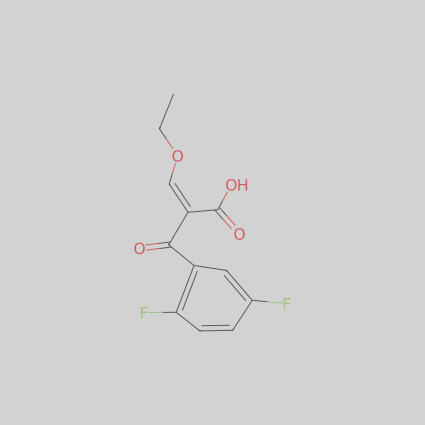 CCOC=C(C(=O)O)C(=O)c1cc(F)ccc1F